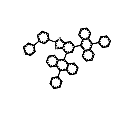 c1ccc(-c2c3ccccc3c(-c3cc(-c4c5ccccc5c(-c5ccccc5)c5ccccc45)c4nn(-c5cccc(-c6ccncc6)c5)nc4c3)c3ccccc23)cc1